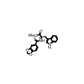 COC(=O)[C@@H](Cc1c[nH]c2ccccc12)NC(=S)c1ccc2c(c1)OCO2